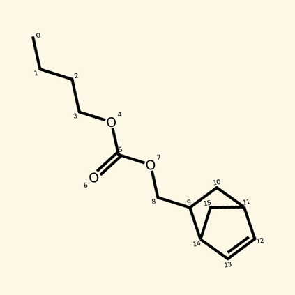 CCCCOC(=O)OCC1CC2C=CC1C2